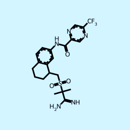 CC(C)(C(=N)N)S(=O)(=O)CC1CCCc2ccc(NC(=O)c3cnc(C(F)(F)F)cn3)cc21